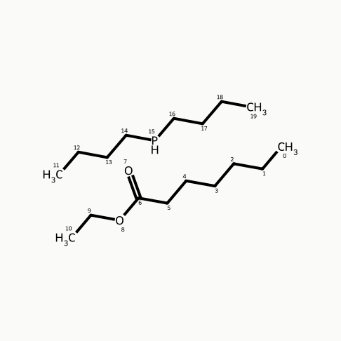 CCCCCCC(=O)OCC.CCCCPCCCC